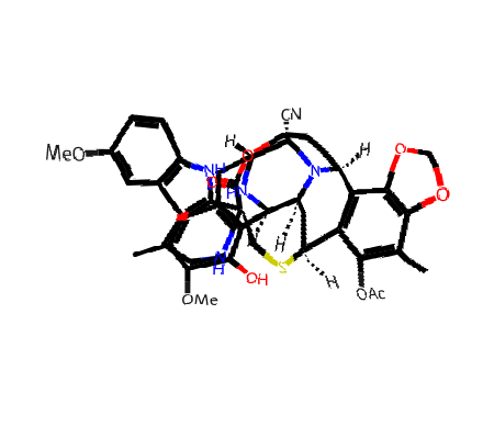 COc1ccc2[nH]c3c(c2c1)CCN[C@]31CS[C@@H]2c3c(OC(C)=O)c(C)c4c(c3[C@H](CCOC1=O)N1[C@@H]2[C@@H]2N[C@H](Cc3cc(C)c(OC)c(O)c32)[C@@H]1C#N)OCO4